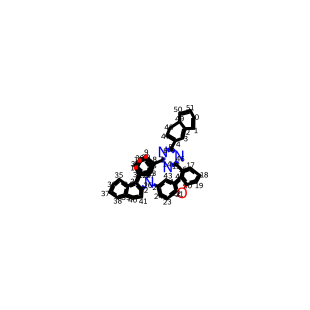 C1=CC2=CC(c3nc(-c4ccccc4)nc(-c4cccc5oc6ccc(-n7c8ccccc8c8c9ccccc9ccc87)cc6c45)n3)=CCC2C=C1